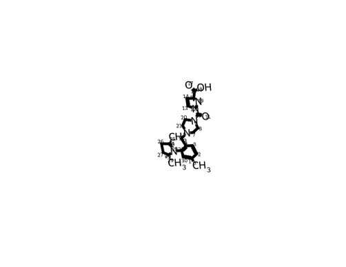 Cc1ccc(CN2CCN(C(=O)n3ccc(C(=O)O)n3)CC2)c(N2[C@H](C)CC[C@H]2C)c1